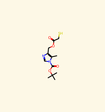 Cc1c(COC(=O)CS)ncn1C(=O)OC(C)(C)C